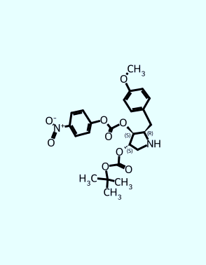 COc1ccc(C[C@H]2NC[C@H](OC(=O)OC(C)(C)C)[C@H]2OC(=O)Oc2ccc([N+](=O)[O-])cc2)cc1